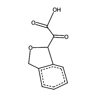 O=C(O)C(=O)C1OCc2ccccc21